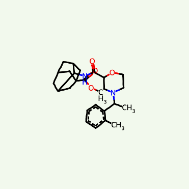 COC(=O)C12CC3CC(C1)C(NC(=O)C1CN(C(C)c4ccccc4C)CCO1)C(C3)C2